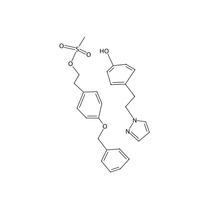 CS(=O)(=O)OCCc1ccc(OCc2ccccc2)cc1.Oc1ccc(CCn2cccn2)cc1